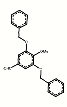 COc1c(OCc2ccccc2)cc([C]=O)cc1OCc1ccccc1